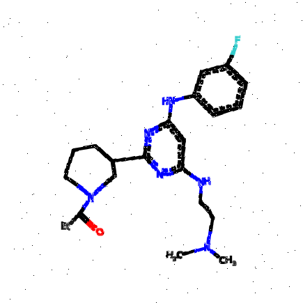 CCC(=O)N1CCCC(c2nc(NCCN(C)C)cc(Nc3cccc(F)c3)n2)C1